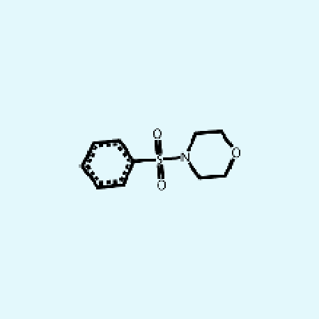 O=S(=O)(c1cc[c]cc1)N1CCOCC1